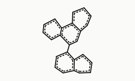 [c]1ccc2ccccc2c1-c1cc2ccccc2c2ccccc12